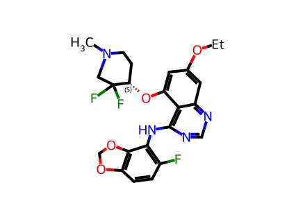 CCOc1cc(O[C@H]2CCN(C)CC2(F)F)c2c(Nc3c(F)ccc4c3OCO4)ncnc2c1